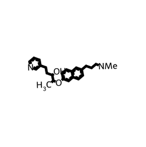 CNCCCc1ccc2cc(OC(C)C(O)CCc3cccnc3)ccc2c1